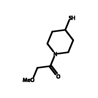 COCC(=O)N1CCC(S)CC1